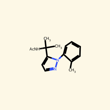 CC(=O)NC(C)(C)c1ccnn1-c1ccccc1C